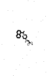 COC(=O)CN(C)C1CCN(C(C)c2cccc3ccccc23)CC1